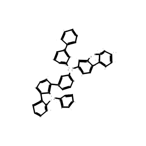 c1ccc(-c2cccc(N(c3cccc(-c4cccc5c6ccccc6n(-c6ccccc6)c45)c3)c3ccc4c(c3)oc3ccccc34)c2)cc1